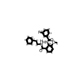 COc1cccc(C(=O)NCCc2ccccc2)c1NC(=O)c1cccc(F)c1